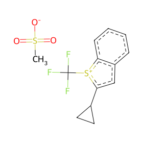 CS(=O)(=O)[O-].FC(F)(F)[s+]1c(C2CC2)cc2ccccc21